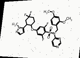 COc1ccc(CN(c2ccncn2)S(=O)(=O)c2c(F)cc(OC3CCC(F)(F)CC3c3ccnn3C)cc2F)c(OC)c1